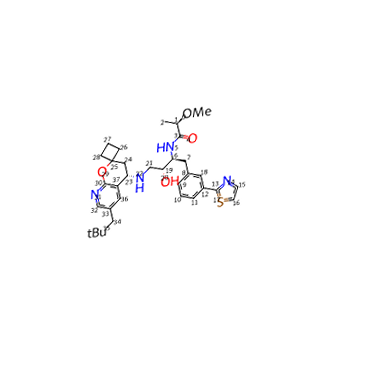 CO[C@H](C)C(=O)N[C@@H](Cc1cccc(-c2nccs2)c1)[C@H](O)CN[C@H]1CC2(CCC2)Oc2ncc(CC(C)(C)C)cc21